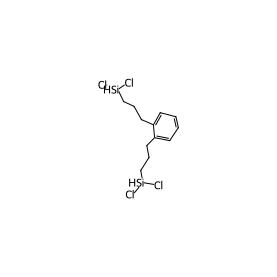 Cl[SiH](Cl)CCCc1ccccc1CCC[SiH](Cl)Cl